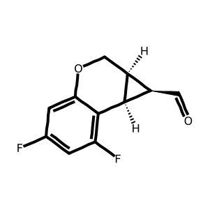 O=C[C@@H]1[C@@H]2COc3cc(F)cc(F)c3[C@H]12